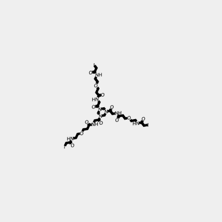 O=C(CI)NCCOCCC(=O)NCC(=O)N1CN(C(=O)CNC(=O)CCOCCNC(=O)CI)CN(C(=O)CNC(=O)CCOCCNC(=O)CI)C1